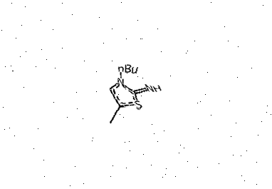 CCCCn1cc(C)sc1=N